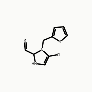 S=CC1NC=C(Cl)N1Cc1cccs1